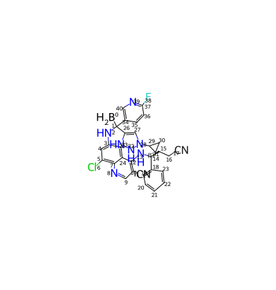 BC(Nc1cc(Cl)c2ncc(C#N)c(N[C@@H](CCC#N)c3ccccc3)c2c1)(C1=CN(C2CC2)NN1)c1ccc(F)nc1